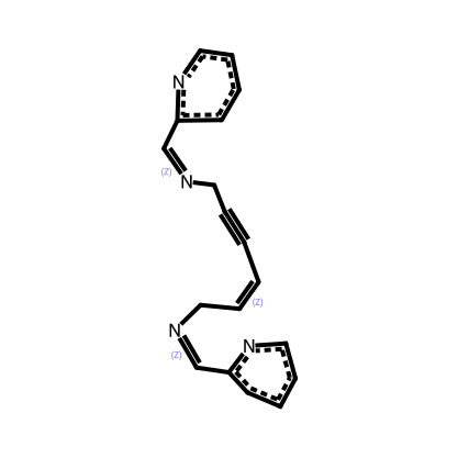 C(#CC/N=C\c1ccccn1)/C=C\C/N=C\c1ccccn1